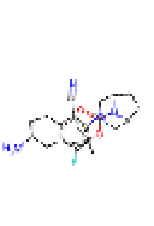 CC(C)(C)OC(=O)N1C2CCC1CN(c1cc(F)c3c(c1C#N)CCC(N)C3)C2